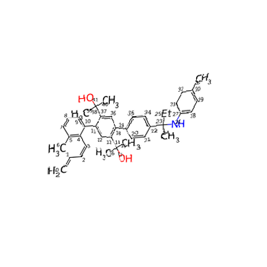 C=C/C=C\c1c(C)cccc1-c1cc(C(C)(C)O)c(-c2ccc(C(C)(CC)NC3=CC=C(C)CC3)cc2)cc1C(C)(C)O